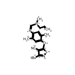 C=CCN(C)/C=N\c1cc(C)c(Oc2snc(C(C)(C)C)c2C#N)cc1C